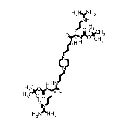 CC(C)(C)OC(=O)N[C@@H](CCCNC(N)N)C(=O)NCCCN1CCN(CCCNC(=O)[C@H](CCCNC(N)N)NC(=O)OC(C)(C)C)CC1